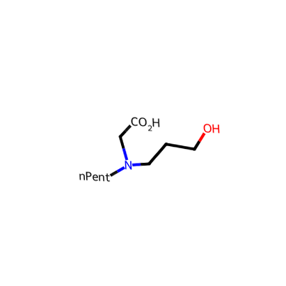 CCCCCN(CCCO)CC(=O)O